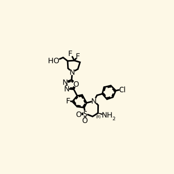 N[C@@H]1CN(Cc2ccc(Cl)cc2)c2cc(-c3nnc(N4CCC(F)(F)C(CO)C4)o3)c(F)cc2S(=O)(=O)C1